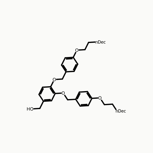 CCCCCCCCCCCCOc1ccc(COc2ccc(CO)cc2OCc2ccc(OCCCCCCCCCCCC)cc2)cc1